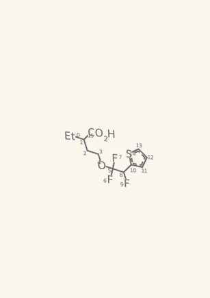 CCC(CCOC(F)(F)C(F)c1cccs1)C(=O)O